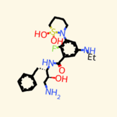 CCNc1cc(C(=O)N[C@@H](Cc2ccccc2)[C@@H](O)CN)c(F)c(N2CCCCS2(O)O)c1